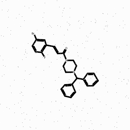 O=C(C=Cc1cc(Br)ccc1F)N1CCN(C(c2ccccc2)c2ccccc2)CC1